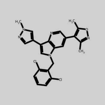 Cc1noc(C)c1-c1cnc2c(-c3cnn(C)c3)cn(Cc3c(Cl)cccc3Cl)c2c1